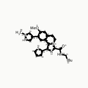 COc1cc2ccn3c(C(=O)NCC(C)(C)C)nc(-c4cccs4)c3c2cc1-c1cnn(C)c1